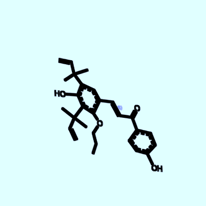 C=CC(C)(C)c1cc(/C=C/C(=O)c2ccc(O)cc2)c(OCCC)c(C(C)(C)C=C)c1O